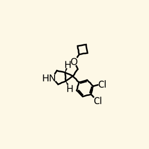 Clc1ccc(C2(COC3CCC3)[C@@H]3CNC[C@@H]32)cc1Cl